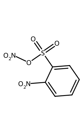 O=[N+]([O-])OS(=O)(=O)c1ccccc1[N+](=O)[O-]